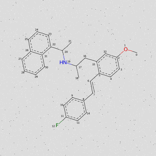 COc1ccc(/C=C/c2ccc(F)cc2)c(CC(C)NC(C)c2cccc3ccccc23)c1